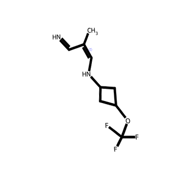 C/C(C=N)=C/NC1CC(OC(F)(F)F)C1